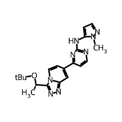 C[C@@H](OC(C)(C)C)c1nnc2cc(-c3ccnc(Nc4ccnn4C)n3)ccn12